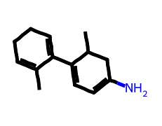 CC1=CCCC=C1C1=CC=C(N)CC1C